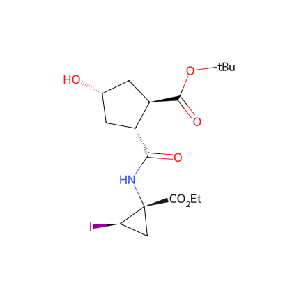 CCOC(=O)[C@@]1(NC(=O)[C@@H]2C[C@H](O)C[C@H]2C(=O)OC(C)(C)C)C[C@H]1I